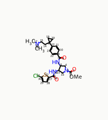 COC(=O)N1CC(NC(=O)c2ccc(C3(CCN(C)C)CC3)cc2)C(NC(=O)c2ccc(Cl)s2)C1